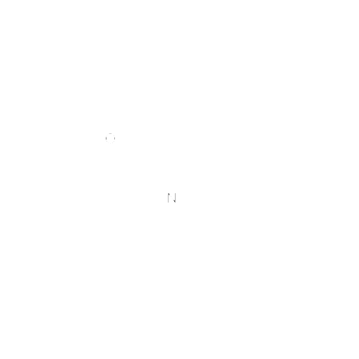 c1ccc2c(c1)COCc1cccn1-2